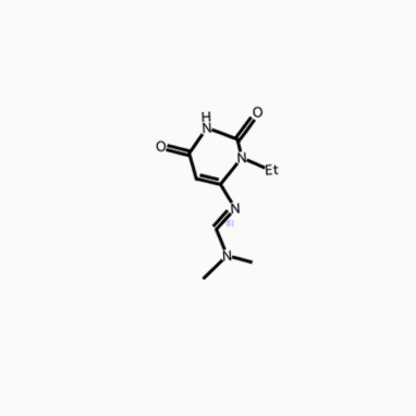 CCn1c(/N=C/N(C)C)cc(=O)[nH]c1=O